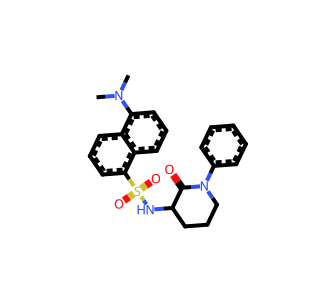 CN(C)c1cccc2c(S(=O)(=O)NC3CCCN(c4ccccc4)C3=O)cccc12